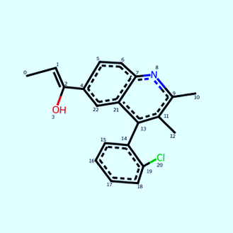 CC=C(O)c1ccc2nc(C)c(C)c(-c3ccccc3Cl)c2c1